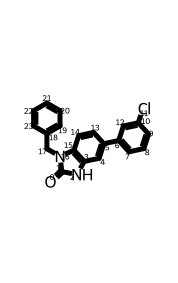 O=c1[nH]c2cc(-c3cccc(Cl)c3)ccc2n1Cc1ccccc1